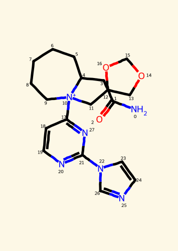 NC(=O)CC1CCCCC[N+]1(CC1COCO1)c1ccnc(-n2ccnc2)n1